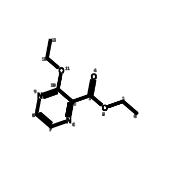 CCOC(=O)c1nccnc1OCC